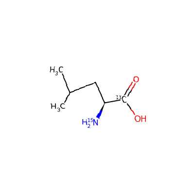 CC(C)C[C@H]([15NH2])[13C](=O)O